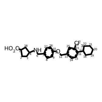 O=C(O)C1CCC(NCc2ccc(OCc3ccc(C4CCCCC4)c(C(F)(F)F)c3)cc2)C1